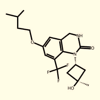 CC(C)CCOc1cc2c(c(C(F)(F)F)c1)N([C@H]1C[C@](C)(O)C1)C(=O)NC2